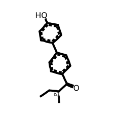 CC[C@H](C)C(=O)c1ccc(-c2ccc(O)cc2)cc1